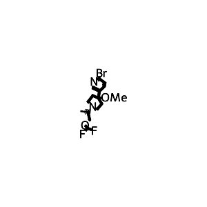 COC1(c2ccc(Br)nc2)CCN([C@H](C)COC(F)F)CC1